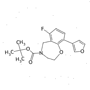 CC(C)(C)OC(=O)N1CCOc2c(-c3ccoc3)ccc(F)c2C1